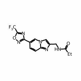 CCC(=O)NCc1cn2cc(-c3noc(C(F)(F)F)n3)ccc2n1